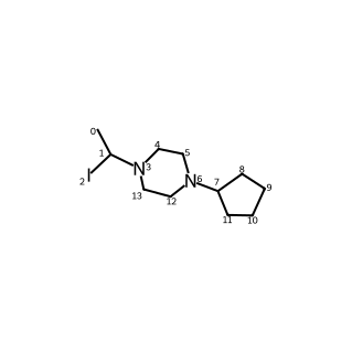 CC(I)N1CCN(C2CCCC2)CC1